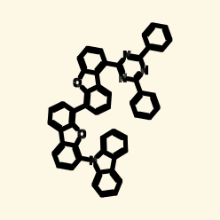 c1ccc(-c2nc(-c3ccccc3)nc(-c3cccc4oc5c(-c6cccc7c6oc6c(-n8c9ccccc9c9ccccc98)cccc67)cccc5c34)n2)cc1